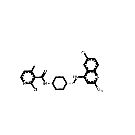 O=C(N[C@H]1CC[C@@H](CNc2cc(C(F)(F)F)nc3ccc(Cl)cc23)CC1)c1c(I)ccnc1Cl